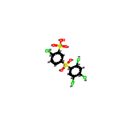 O=S(=O)(O)c1cc(S(=O)(=O)c2cc(Cl)c(Cl)cc2Cl)ccc1Cl